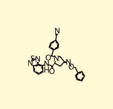 N#Cc1ccc(C(=O)N2CC(=NOCc3ccccc3)C[C@H]2C(=O)Nc2cccc3nsnc23)cc1